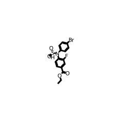 CCOC(=O)c1ccc(N(c2ccc(Br)cc2)[SH](=O)=O)c(F)c1